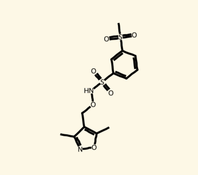 Cc1noc(C)c1CONS(=O)(=O)c1cccc(S(C)(=O)=O)c1